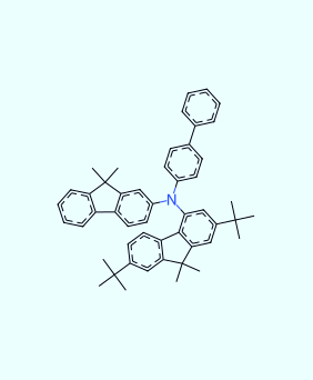 CC(C)(C)c1ccc2c(c1)C(C)(C)c1cc(C(C)(C)C)cc(N(c3ccc(-c4ccccc4)cc3)c3ccc4c(c3)C(C)(C)c3ccccc3-4)c1-2